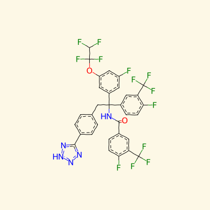 O=C(NC(Cc1ccc(-c2nn[nH]n2)cc1)(c1cc(F)cc(OC(F)(F)C(F)F)c1)c1ccc(F)c(C(F)(F)F)c1)c1ccc(F)c(C(F)(F)F)c1